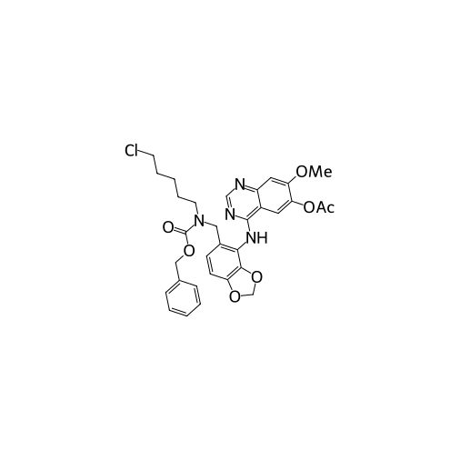 COc1cc2ncnc(Nc3c(CN(CCCCCCl)C(=O)OCc4ccccc4)ccc4c3OCO4)c2cc1OC(C)=O